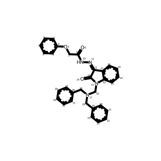 O=C(COc1ccccc1)NN=C1C(=O)N(CN(Cc2ccccc2)Cc2ccccc2)c2ccccc21